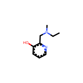 CCN(C)Cc1ncccc1O